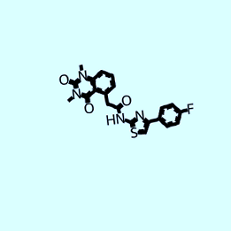 Cn1c(=O)c2c(CC(=O)Nc3nc(-c4ccc(F)cc4)cs3)cccc2n(C)c1=O